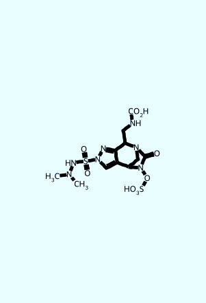 CN(C)NS(=O)(=O)n1cc2c(n1)C(CNC(=O)O)N1CC2N(OS(=O)(=O)O)C1=O